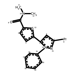 CC(C)c1cc(-c2ccc(C(=O)N(C)C)s2)n(-c2ccccc2)n1